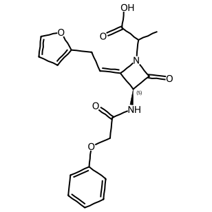 CC(C(=O)O)N1C(=O)[C@@H](NC(=O)COc2ccccc2)C1=CCc1ccco1